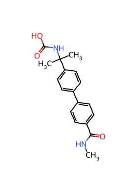 CNC(=O)c1ccc(-c2ccc(C(C)(C)NC(=O)O)cc2)cc1